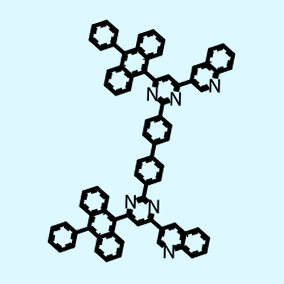 c1ccc(-c2c3ccccc3c(-c3cc(-c4cnc5ccccc5c4)nc(-c4ccc(-c5ccc(-c6nc(-c7cnc8ccccc8c7)cc(-c7c8ccccc8c(-c8ccccc8)c8ccccc78)n6)cc5)cc4)n3)c3ccccc23)cc1